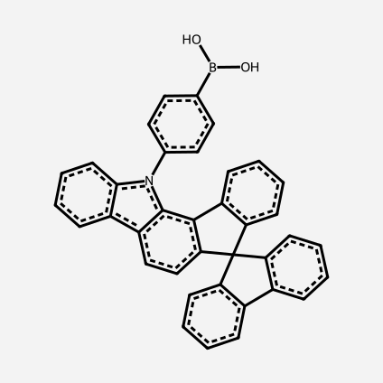 OB(O)c1ccc(-n2c3ccccc3c3ccc4c(c32)-c2ccccc2C42c3ccccc3-c3ccccc32)cc1